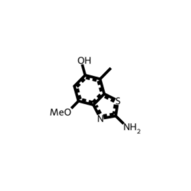 COc1cc(O)c(C)c2sc(N)nc12